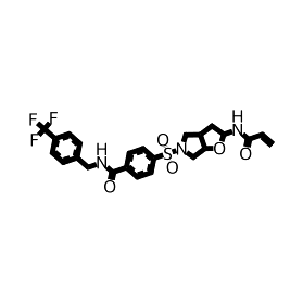 C=CC(=O)NC1CC2CN(S(=O)(=O)c3ccc(C(=O)NCc4ccc(C(F)(F)F)cc4)cc3)CC2O1